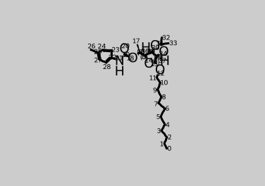 CCCCCCCCCCCCO[C@@H]1O[C@@H]([C@H](C)OC(=O)Nc2ccc(C)cc2)[C@H]2OC(C)(C)O[C@@H]12